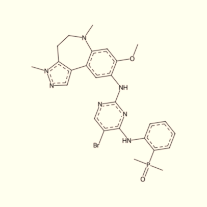 COc1cc2c(cc1Nc1ncc(Br)c(Nc3ccccc3P(C)(C)=O)n1)-c1cnn(C)c1CCN2C